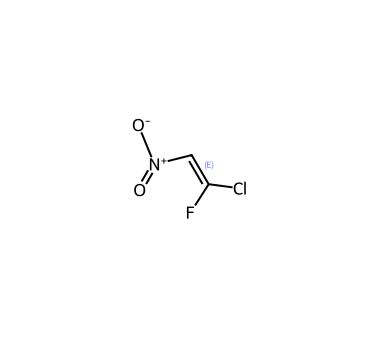 O=[N+]([O-])/C=C(\F)Cl